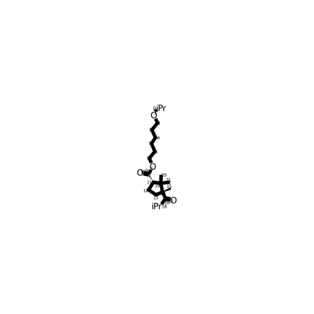 CC(C)OCCCCCCOC(=O)[C@H]1CC[C@@](C)(C(=O)C(C)C)C1(C)C